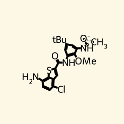 COc1c(NC(=O)c2cc3c(Cl)ccc(N)c3s2)cc(C(C)(C)C)cc1N[S+](C)[O-]